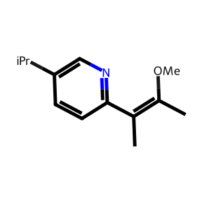 CO/C(C)=C(/C)c1ccc(C(C)C)cn1